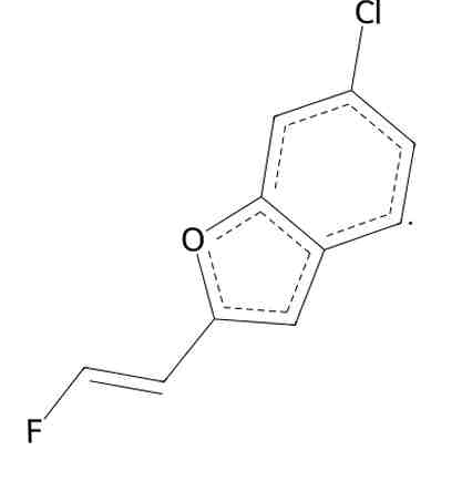 FC=Cc1cc2[c]cc(Cl)cc2o1